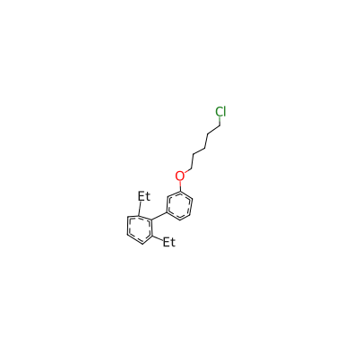 CCc1cccc(CC)c1-c1cccc(OCCCCCCl)c1